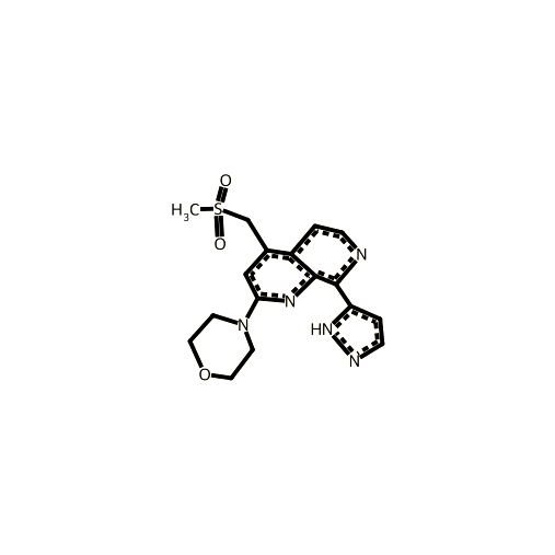 CS(=O)(=O)Cc1cc(N2CCOCC2)nc2c(-c3ccn[nH]3)nccc12